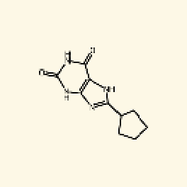 O=c1[nH]c(=O)c2[nH]c(C3CCCC3)nc2[nH]1